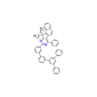 CC1(C)c2nc(-c3cccc(-c4cccc(-c5cc(-c6ccccc6)cc(-c6ccccc6)c5)c4)c3)nc(-c3ccccc3)c2-c2ccc3ccccc3c21